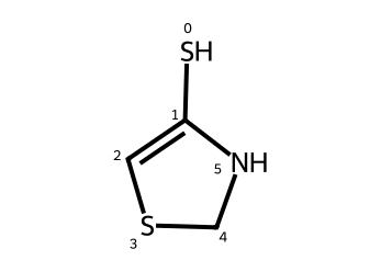 SC1=CSCN1